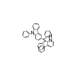 C1=CNC(S(c2ccccc2)(c2ccccc2)c2ccc3c(c2)c2ccccc2n3-c2ccccc2)C(c2ccccc2)=C1